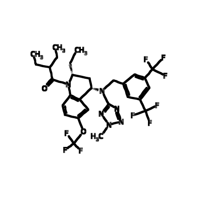 CCC(CC)C(=O)N1c2ccc(OC(F)(F)F)cc2[C@@H](N(Cc2cc(C(F)(F)F)cc(C(F)(F)F)c2)c2nnn(C)n2)C[C@H]1CC